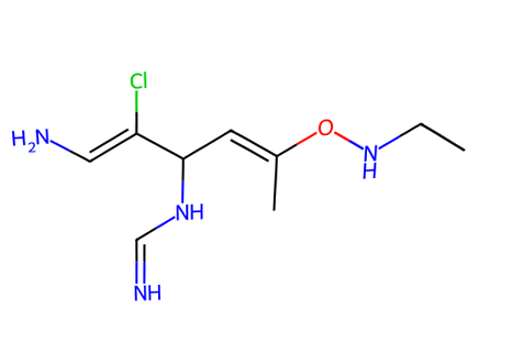 CCNO/C(C)=C/C(NC=N)/C(Cl)=C/N